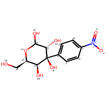 O=[N+]([O-])c1ccc([C@@]2(O)[C@@H](O)C(O)O[C@H](CO)[C@@H]2O)cc1